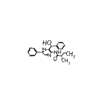 CCC(C)C(=O)Nc1ncc(-c2ccccc2)nc1C(O)c1ccccc1